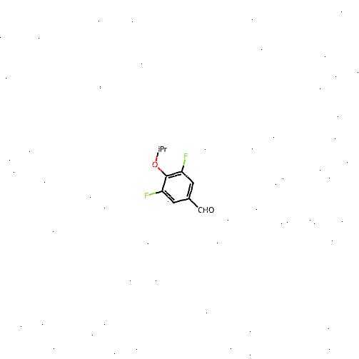 CC(C)Oc1c(F)cc(C=O)cc1F